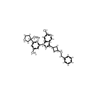 CO[C@]1(c2cc(C)cc(-n3nc(C4CC(OCc5ccccc5)C4)c4cnc(Cl)cc43)n2)CCOC1